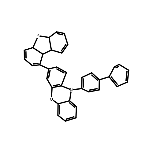 C1=CC2SC3C=CC=C(c4ccc5c(c4)Oc4ccccc4N5c4ccc(-c5ccccc5)cc4)C3C2C=C1